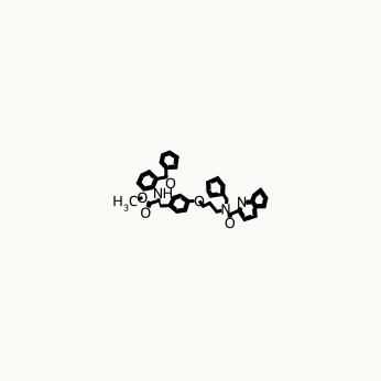 COC(=O)[C@H](Cc1ccc(OCCCN(Cc2ccccc2)C(=O)c2ccc3ccccc3n2)cc1)Nc1ccccc1C(=O)c1ccccc1